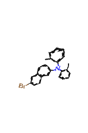 Cc1ccccc1N(c1ccc2cc(Br)ccc2c1)c1ccccc1C